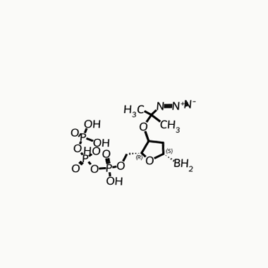 B[C@H]1CC(OC(C)(C)N=[N+]=[N-])[C@@H](COP(=O)(O)OP(=O)(O)OP(=O)(O)O)O1